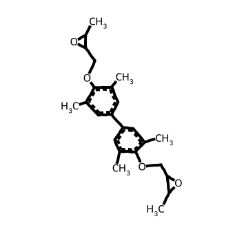 Cc1cc(-c2cc(C)c(OCC3OC3C)c(C)c2)cc(C)c1OCC1OC1C